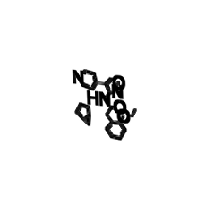 CCOc1ccccc1CC(=O)Nc1nocc1-c1ccncc1.c1cc2cc-2c1